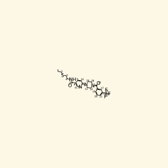 CCSCCNC(=O)c1ccc(N2CCN(C(=O)c3cccc(C(F)(F)F)c3)CC2)nc1